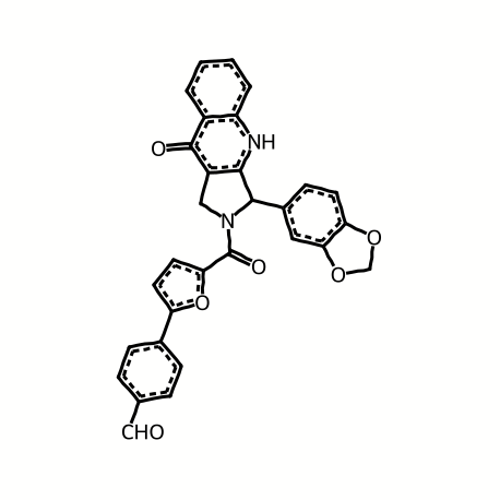 O=Cc1ccc(-c2ccc(C(=O)N3Cc4c([nH]c5ccccc5c4=O)C3c3ccc4c(c3)OCO4)o2)cc1